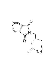 CC1CC(CN2C(=O)c3ccccc3C2=O)CCN1